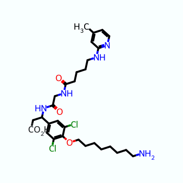 Cc1ccnc(NCCCCC(=O)NCC(=O)NC(CC(=O)O)c2cc(Cl)c(OCCCCCCCCN)c(Cl)c2)c1